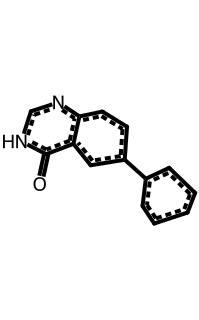 O=c1[nH]cnc2ccc(-c3ccccc3)cc12